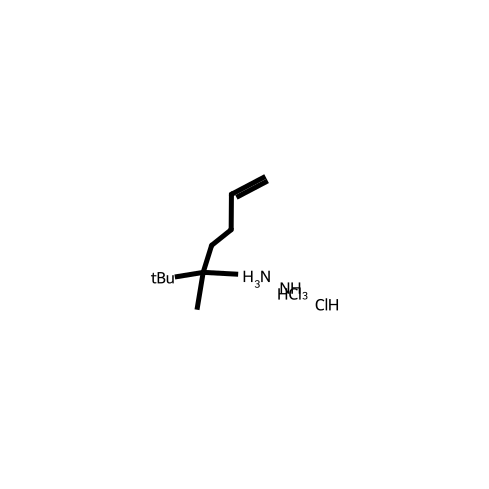 C=CCCC(C)(C)C(C)(C)C.Cl.Cl.N.N